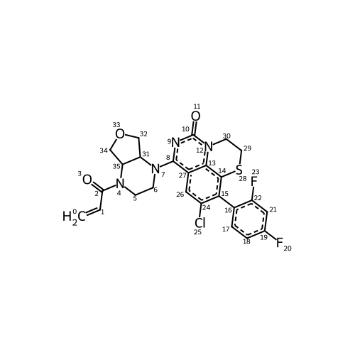 C=CC(=O)N1CCN(c2nc(=O)n3c4c(c(-c5ccc(F)cc5F)c(Cl)cc24)SCC3)C2COCC21